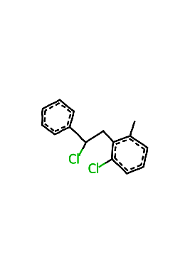 Cc1cccc(Cl)c1CC(Cl)c1ccccc1